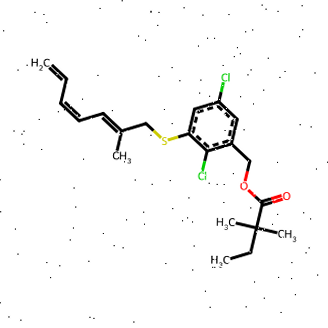 C=C/C=C\C=C(/C)CSc1cc(Cl)cc(COC(=O)C(C)(C)CC)c1Cl